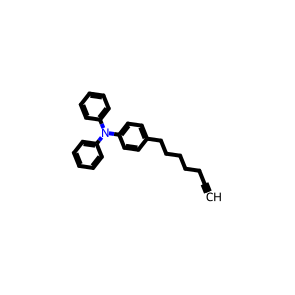 C#CCCCCCc1ccc(N(c2ccccc2)c2ccccc2)cc1